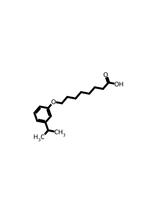 CC(C)c1cccc(OCCCCCCCC(=O)O)c1